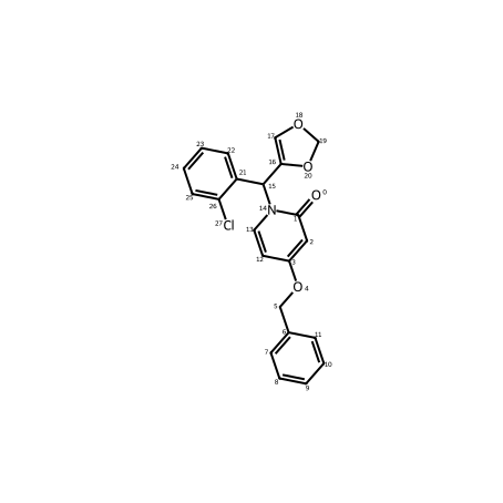 O=c1cc(OCc2ccccc2)ccn1C(C1=COCO1)c1ccccc1Cl